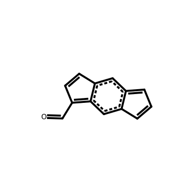 O=CC1=c2cc3c(cc2C=C1)=CC=C3